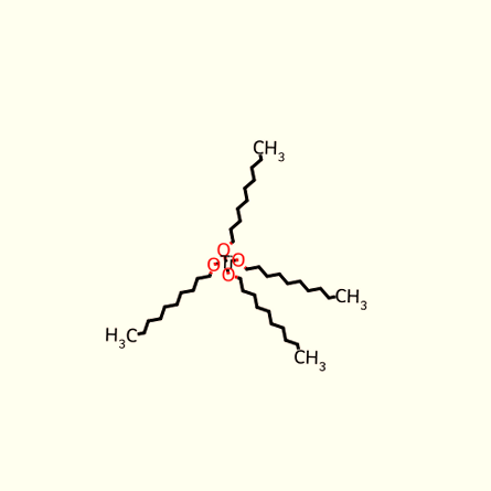 CCCCCCCCCC[O][Ti]([O]CCCCCCCCCC)([O]CCCCCCCCCC)[O]CCCCCCCCCC